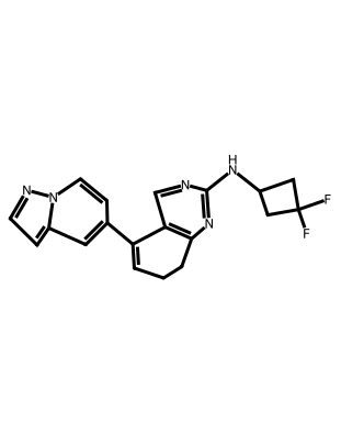 FC1(F)CC(Nc2ncc3c(n2)CCC=C3c2ccn3nccc3c2)C1